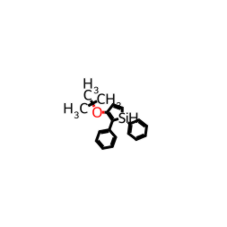 CC(C)(C)OC1=C(c2ccccc2)[SiH](c2ccccc2)C=C1